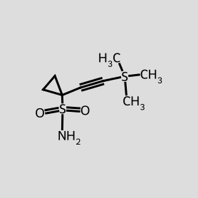 CS(C)(C)C#CC1(S(N)(=O)=O)CC1